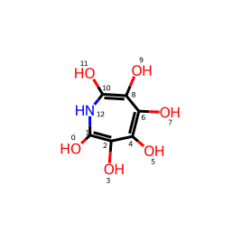 OC1=C(O)C(O)=C(O)C(O)=C(O)N1